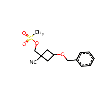 CS(=O)(=O)OCC1(C#N)CC(OCc2ccccc2)C1